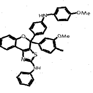 COc1ccc(Nc2ccc(C3(c4ccc(C)c(OC)c4)Oc4ccccc4-c4nc(Nc5ccccc5)sc43)cc2)cc1